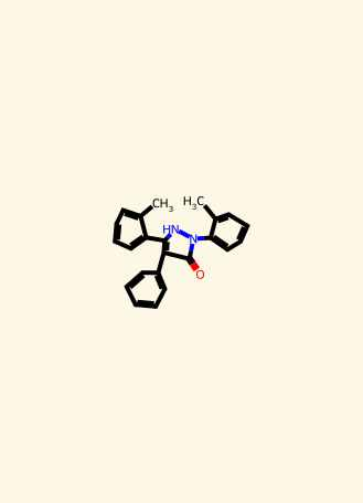 Cc1ccccc1-c1[nH]n(-c2ccccc2C)c(=O)c1-c1ccccc1